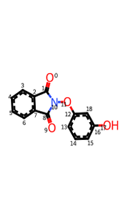 O=C1c2ccccc2C(=O)N1Oc1cccc(O)c1